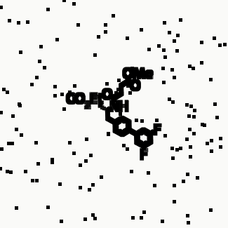 CCOC(=O)C[C@@H](Cc1ccc(-c2cc(F)cc(F)c2)cc1)NC(=O)CCC(=O)OC